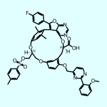 COc1ccccc1-c1nccc(COc2ccc3cc2C[C@H](C(=O)O)Oc2ncnc4oc(-c5ccc(F)cc5)c(c24)-c2c(C)cc(cc2C)O[C@H](COS(=O)(=O)c2ccc(C)cc2)CO3)n1